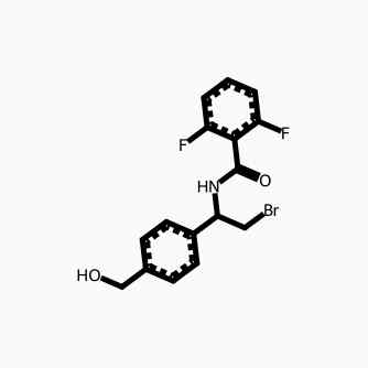 O=C(NC(CBr)c1ccc(CO)cc1)c1c(F)cccc1F